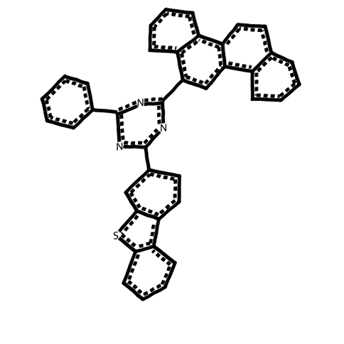 c1ccc(-c2nc(-c3ccc4c(c3)sc3ccccc34)nc(-c3cc4c5ccccc5ccc4c4ccccc34)n2)cc1